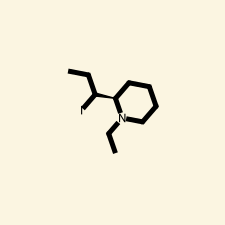 CCC(I)[C@H]1CCCCN1CC